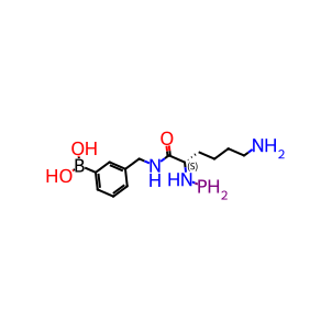 NCCCC[C@H](NP)C(=O)NCc1cccc(B(O)O)c1